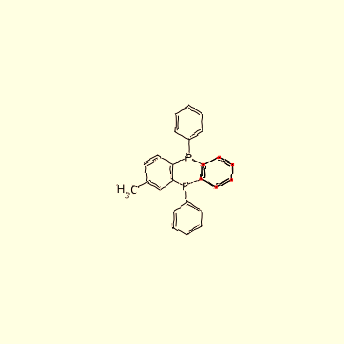 Cc1ccc(P(c2ccccc2)c2ccccc2)c(P(c2ccccc2)c2ccccc2)c1